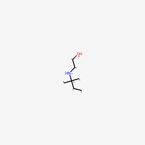 CCC(C)(C)NCCO